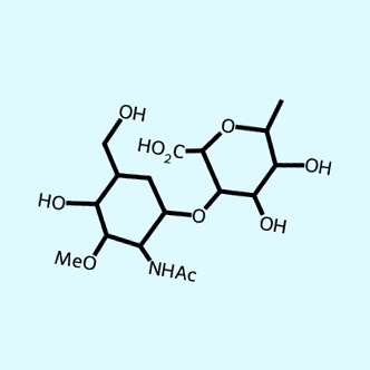 COC1C(O)C(CO)CC(OC2C(C(=O)O)OC(C)C(O)C2O)C1NC(C)=O